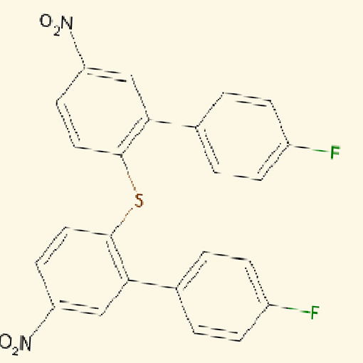 O=[N+]([O-])c1ccc(Sc2ccc([N+](=O)[O-])cc2-c2ccc(F)cc2)c(-c2ccc(F)cc2)c1